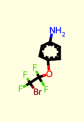 Nc1ccc(OC(F)(F)C(F)(F)Br)cc1